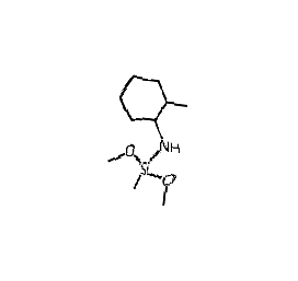 CO[Si](C)(NC1CCCCC1C)OC